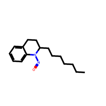 CCCCCCCC1CCc2ccccc2N1N=O